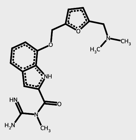 CN(C)Cc1ccc(COc2cccc3cc(C(=O)N(C)C(=N)N)[nH]c23)o1